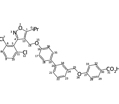 CC(C)c1onc(-c2c(Cl)cccc2Cl)c1COc1ccc(-c2cccc(COc3ccc(C(=O)O)cc3)c2)cc1